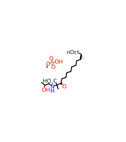 CCCCCCCC/C=C\CCCCCCCC(=O)C(C)(NCC(C)O)C(=O)O.COS(=O)(=O)O